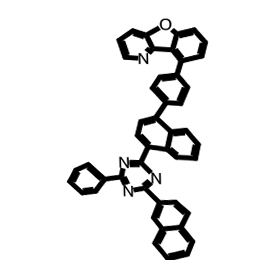 c1ccc(-c2nc(-c3ccc4ccccc4c3)nc(-c3ccc(-c4ccc(-c5cccc6oc7cccnc7c56)cc4)c4ccccc34)n2)cc1